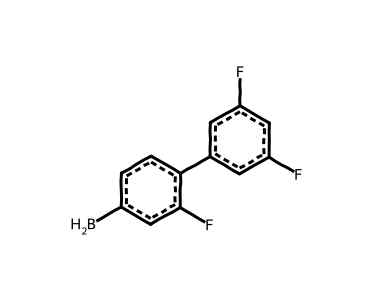 Bc1ccc(-c2cc(F)cc(F)c2)c(F)c1